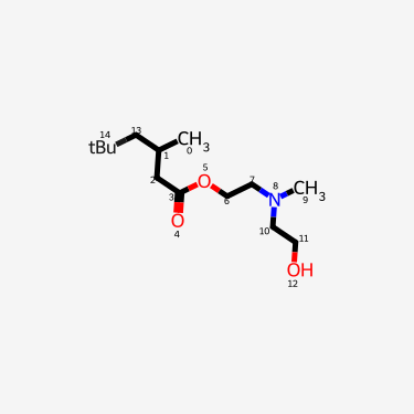 CC(CC(=O)OCCN(C)CCO)CC(C)(C)C